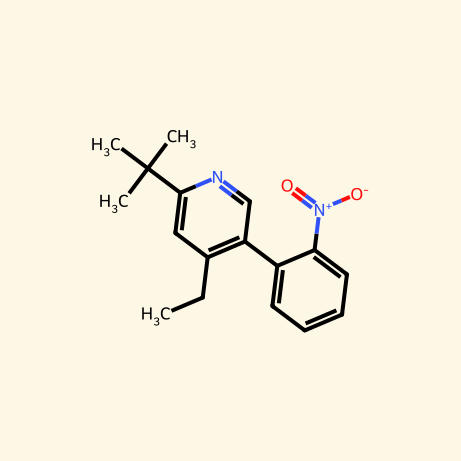 CCc1cc(C(C)(C)C)ncc1-c1ccccc1[N+](=O)[O-]